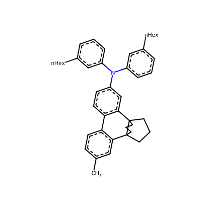 CCCCCCc1cccc(N(c2cccc(CCCCCC)c2)c2ccc3c(c2)C24CCCC2(CCC4)c2cc(C)ccc2-3)c1